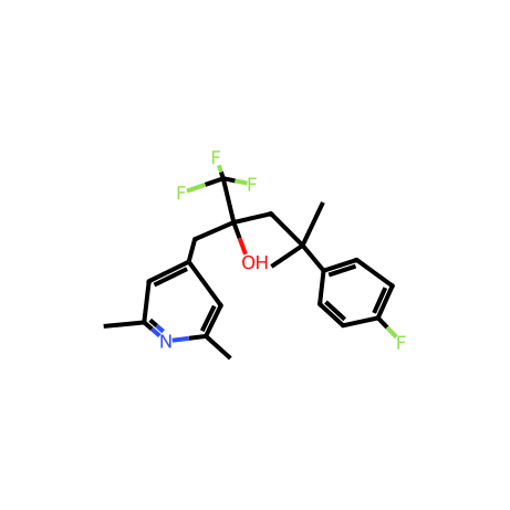 Cc1cc(CC(O)(CC(C)(C)c2ccc(F)cc2)C(F)(F)F)cc(C)n1